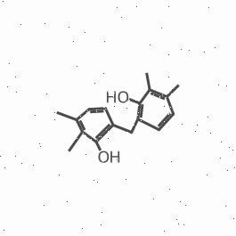 Cc1ccc(Cc2ccc(C)c(C)c2O)c(O)c1C